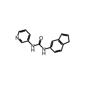 O=C(Nc1cccnc1)Nc1ccc2c(c1)C=CC2